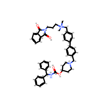 C[N+](C)(CCCN1C(=O)c2ccccc2C1=O)Cc1ccc(-c2ccc(CN3CCC(OC(=O)NC(c4ccccc4)c4ccccc4)CC3)cc2)cc1